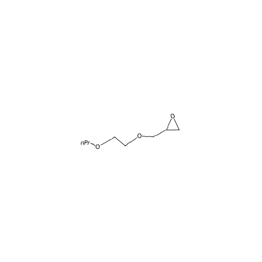 CCCOCCOCC1CO1